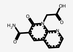 NC(=O)c1cc2cccnc2n(CC(=O)O)c1=O